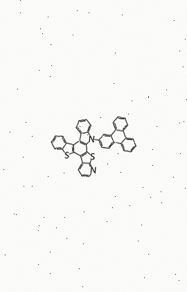 c1ccc2c(c1)sc1c3c4cccnc4sc3c3c(c4ccccc4n3-c3ccc4c5ccccc5c5ccccc5c4c3)c21